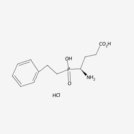 Cl.N[C@H](CCC(=O)O)P(=O)(O)CCc1ccccc1